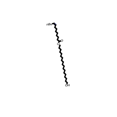 CCCC/C=C\CCCCCCCC(=O)OCCCCCCCCCCCCCCCCCCCO